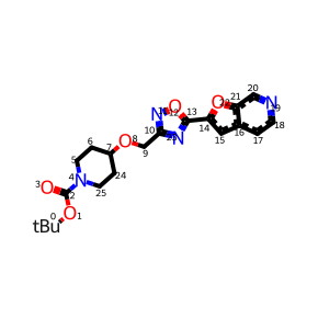 CC(C)(C)OC(=O)N1CCC(OCc2noc(-c3cc4ccncc4o3)n2)CC1